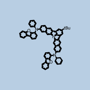 CC(C)(C)c1cc2c3cc4ccc(N(c5ccccc5)c5cccc6c5oc5ccccc56)cc4cc3n3c4cc5cc(N(c6cccc7c6oc6ccccc67)C6C=CC=CC6)ccc5cc4c(c1)c23